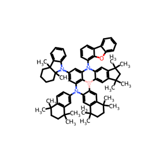 CC1(C)CCC(C)(C)c2cc(N3c4cc5c(cc4B4c6cc7c(cc6N(c6cccc8c6oc6ccccc68)c6cc(N8c9ccccc9C9(C)CCCCC89C)cc3c64)C(C)(C)CC7(C)C)C(C)(C)CCC5(C)C)ccc21